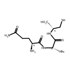 CCCC[C@H](NC(=O)[C@@H](N)CCC(N)=O)C(=O)N[C@@H](CS)C(=O)O